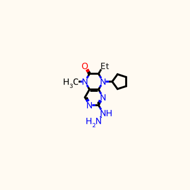 CCC1C(=O)N(C)c2cnc(NN)nc2N1C1CCCC1